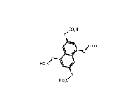 O=C(O)Oc1cc(OC(=O)O)c2cc(OC(=O)O)cc(OC(=O)O)c2c1